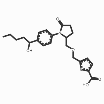 CCCCC(O)c1ccc(N2C(=O)CCC2COCc2ccc(C(=O)O)s2)cc1